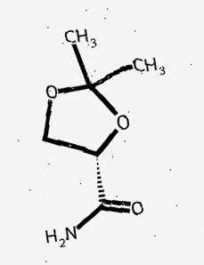 CC1(C)OC[C@@H](C(N)=O)O1